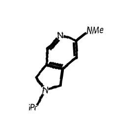 CNc1cc2c(cn1)CN(C(C)C)C2